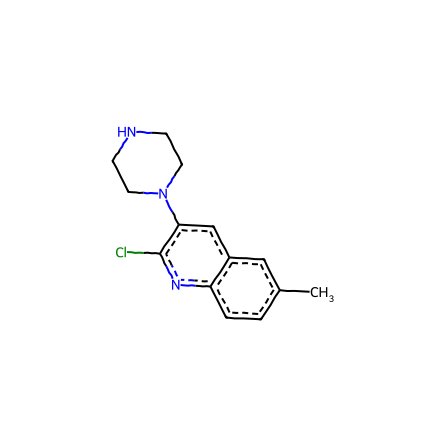 Cc1ccc2nc(Cl)c(N3CCNCC3)cc2c1